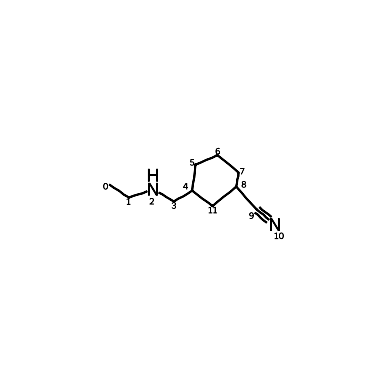 CCNCC1CCCC(C#N)C1